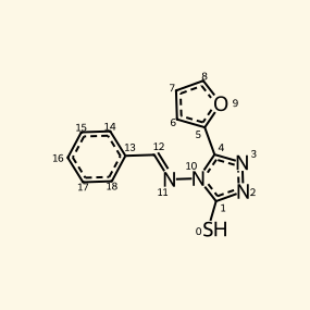 Sc1nnc(-c2ccco2)n1N=Cc1ccccc1